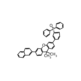 CC1(C)c2ccc(-c3cccc(P(=O)(c4ccccc4)c4ccccc4)c3)cc2Oc2cc(-c3ccc4ccccc4c3)ccc21